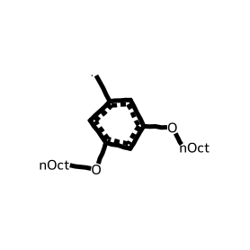 [CH2]c1cc(OCCCCCCCC)cc(OCCCCCCCC)c1